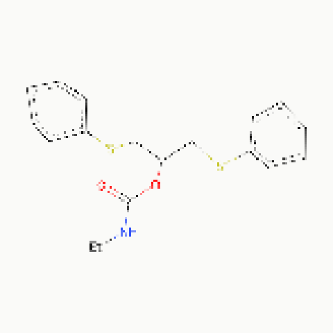 CCNC(=O)OC(CSc1ccccc1)CSc1ccccc1